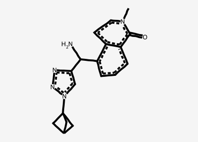 Cn1ccc2c(C(N)c3cn(C45CC(C4)C5)nn3)cccc2c1=O